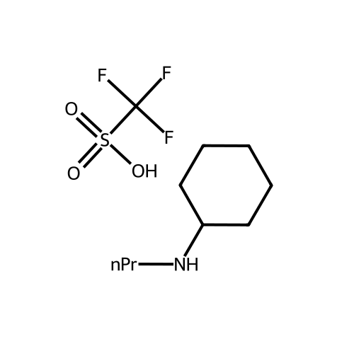 CCCNC1CCCCC1.O=S(=O)(O)C(F)(F)F